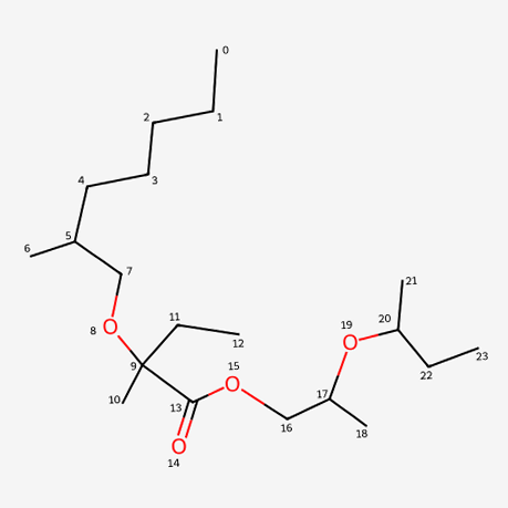 CCCCCC(C)COC(C)(CC)C(=O)OCC(C)OC(C)CC